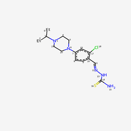 CCC(CC)N1CCN(c2ccc(C=NNC(N)=S)c(Cl)c2)CC1